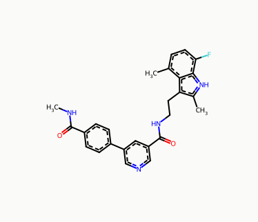 CNC(=O)c1ccc(-c2cncc(C(=O)NCCc3c(C)[nH]c4c(F)ccc(C)c34)c2)cc1